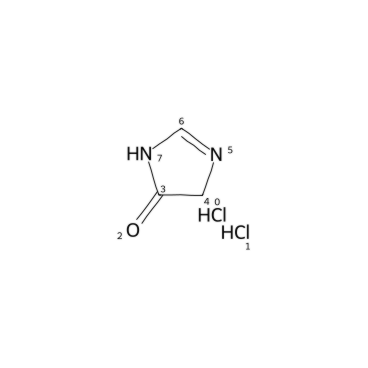 Cl.Cl.O=C1CN=CN1